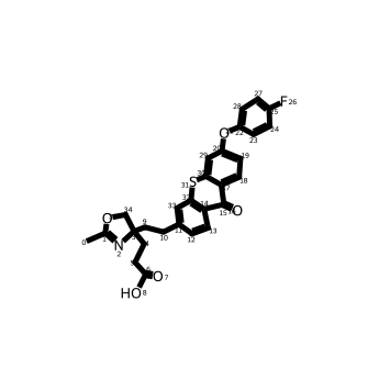 CC1=NC(CCC(=O)O)(CCc2ccc3c(=O)c4ccc(Oc5ccc(F)cc5)cc4sc3c2)CO1